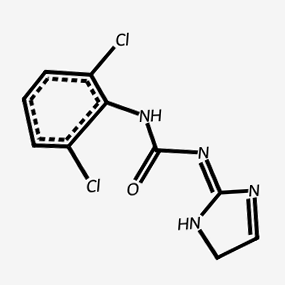 O=C(N=C1N=CCN1)Nc1c(Cl)cccc1Cl